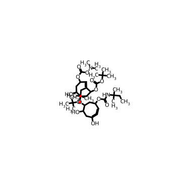 CCC(C)(C)NC(=O)OC1C=C=C(O)CC(O)C(OC(C)(C)C/C2=C\C(OC(=O)ON(C)C)CC(O)C(OC(C)(C)C)CC2OC(=O)OC(C)(C)C)C1